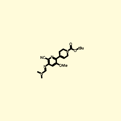 COc1cc(/N=C/N(C)C)c(C#N)nc1C1=CCN(C(=O)OC(C)(C)C)CC1